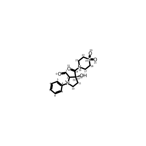 O=CC1N(c2ccccc2)CC[C@@]1(O)C(=O)N1CCS(=O)(=O)CC1